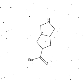 CCC(C)C(=O)C1CC2CNCC2C1